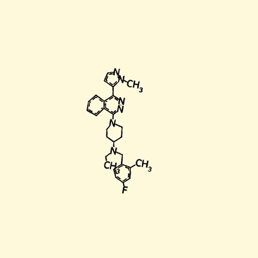 CCN(Cc1ccc(F)cc1C)C1CCN(c2nnc(-c3ccnn3C)c3ccccc23)CC1